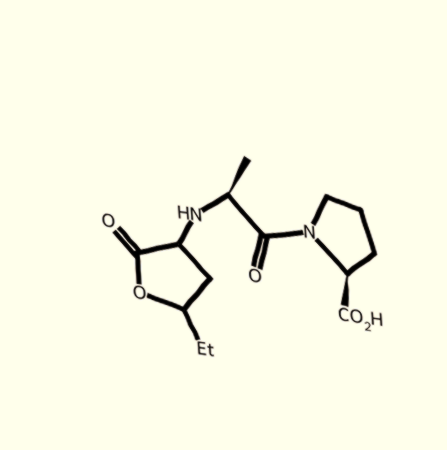 CCC1CC(N[C@@H](C)C(=O)N2CCC[C@H]2C(=O)O)C(=O)O1